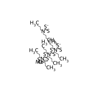 CCCCN(CCCC)C(=S)[S-].CCCCN(CCCC)C(=S)[S-].CCCCN(CCCC)C(=S)[S-].CCCCN(CCCC)C(=S)[S-].O=S.[Mo+4]